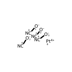 N#C[O-].N#C[O-].N#C[O-].N#C[O-].[Pt+4]